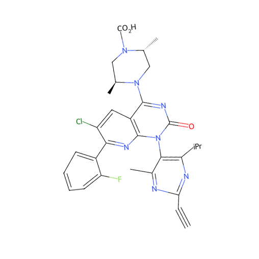 C#Cc1nc(C)c(-n2c(=O)nc(N3C[C@@H](C)N(C(=O)O)C[C@@H]3C)c3cc(Cl)c(-c4ccccc4F)nc32)c(C(C)C)n1